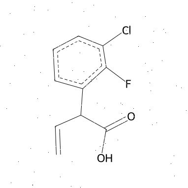 C=CC(C(=O)O)c1cccc(Cl)c1F